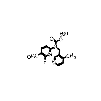 Cc1ccncc1CN(C(=O)OC(C)(C)C)c1ccc(C=O)c(F)n1